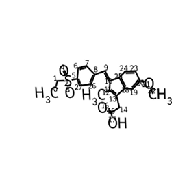 CCS(=O)(=O)c1ccc(C=C2C(C)=C(CC(=O)O)c3cc(OC)ccc32)cc1